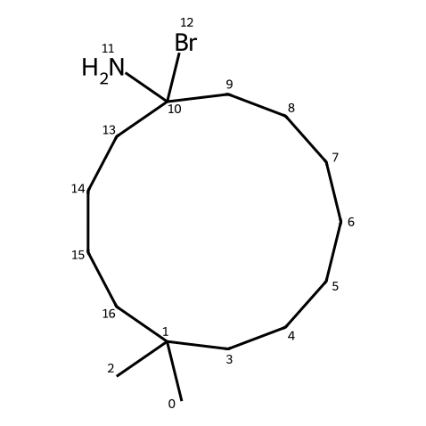 CC1(C)CCCCCCCC(N)(Br)CCCC1